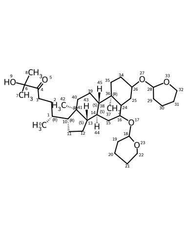 C[C@H](CCC(=O)C(C)(C)O)[C@H]1CC[C@H]2[C@@H]3CC(OC4CCCCO4)C4CC(OC5CCCCO5)CC[C@]4(C)[C@H]3CC[C@]12C